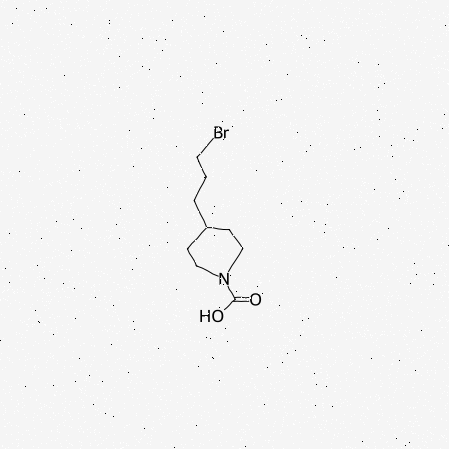 O=C(O)N1CCC(CCCBr)CC1